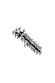 Fc1c(F)[n+](C(F)(F)F)c(F)n1C(F)(F)C(F)(F)C(F)(F)C(F)(F)C(F)(F)C(F)(F)C(F)(F)C(F)(F)C(F)(F)C(F)(F)F.[I-]